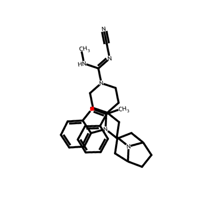 CN/C(=N\C#N)N1CCC(CCN2C3CCC2CC(n2c(C)nc4ccccc42)C3)(c2ccccc2)CC1